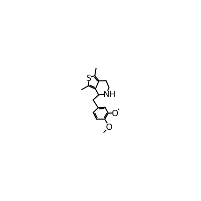 COc1ccc(CC2NCCc3c(C)sc(C)c32)cc1OC